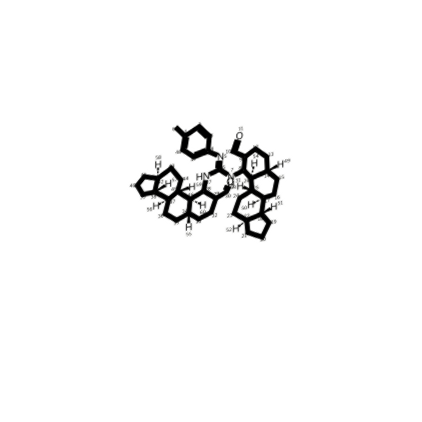 Cc1ccc(N=C(NC2C(C=O)CC[C@@H]3CC[C@H]4[C@@H]5CCC[C@H]5CC[C@@H]4[C@@H]23)NC2C(C=O)CC[C@@H]3CC[C@H]4[C@@H]5CCC[C@H]5CC[C@@H]4[C@@H]23)cc1